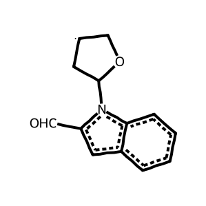 O=Cc1cc2ccccc2n1C1C[CH]CO1